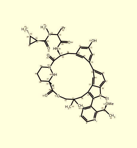 CCn1c(-c2cccnc2[C@H](C)OC)c2c3cc(ccc31)-c1cc(O)cc(c1)C[C@H](NC(=O)C(C(C)C)N(C)C(=O)[C@H]1C[C@@H]1C)C(=O)N1CCC[C@H](N1)C(=O)OCC(C)(C)C2